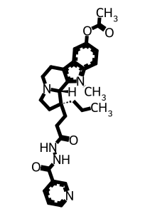 CCC[C@]1(CCC(=O)NNC(=O)c2cccnc2)CCN2CCc3c(n(C)c4ccc(OC(C)=O)cc34)[C@@H]21